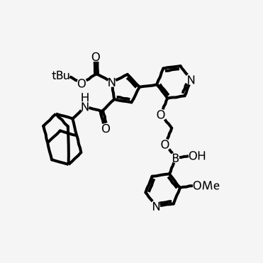 COc1cnccc1B(O)OCOc1cnccc1-c1cc(C(=O)NC2C3CC4CC(C3)CC2C4)n(C(=O)OC(C)(C)C)c1